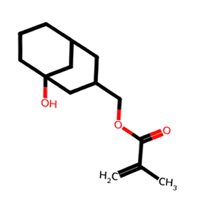 C=C(C)C(=O)OCC1CC2CCCC(O)(C2)C1